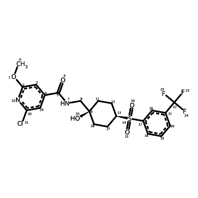 COc1cc(C(=O)NC[C@]2(O)CC[C@@H](S(=O)(=O)c3cccc(C(F)(F)F)c3)CC2)cc(Cl)n1